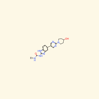 CCNC(=O)Nc1nc2cc(-c3cnc(N4CCC(O)CC4)nc3)ccc2[nH]1